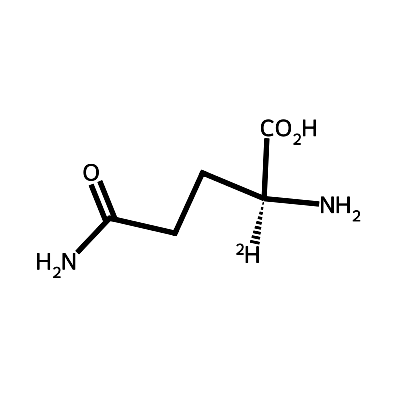 [2H][C@](N)(CCC(N)=O)C(=O)O